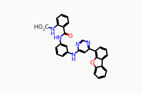 O=C(O)Nc1ccccc1C(=O)Nc1cccc(Nc2cc(-c3cccc4c3oc3ccccc34)ncn2)c1